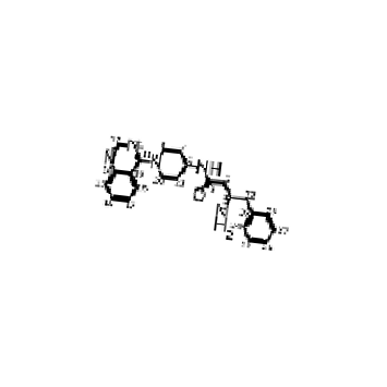 NC(CC(=O)NC1CCN(c2ncnc3ccccc23)CC1)Cc1ccccc1